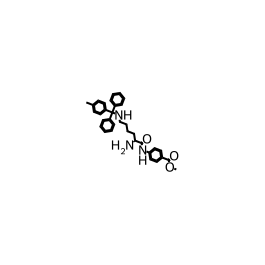 COC(=O)c1ccc(NC(=O)[C@@H](N)CCCCNC(c2ccccc2)(c2ccccc2)c2ccc(C)cc2)cc1